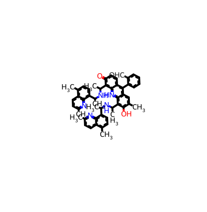 Cc1ccc2c(C)ccc(C(C)NC(C)c3c4[nH]c5c(C(C)NC(C)c6ccc(C)c7ccc(C)nc67)c(O)c(C)cc5c(-c5ccccc5C=O)c-4ccc3=O)c2n1